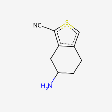 N#Cc1scc2c1CC(N)CC2